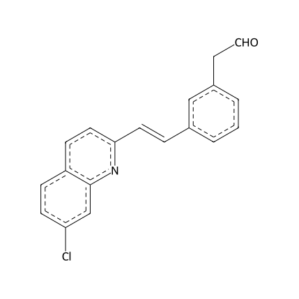 O=CCc1cccc(C=Cc2ccc3ccc(Cl)cc3n2)c1